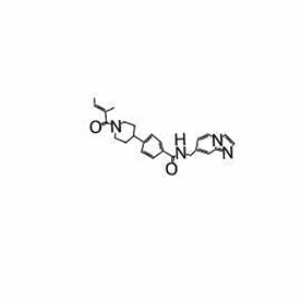 C/C=C(\C)C(=O)N1CCC(c2ccc(C(=O)NCc3ccn4ccnc4c3)cc2)CC1